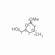 CO[C@H]1C[C@H](C)CC(CO)O1